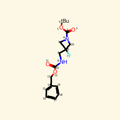 CC(C)(C)OC(=O)N1CC(F)(CNC(=O)OCc2ccccc2)C1